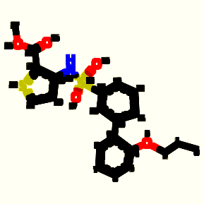 CCCOc1ccccc1-c1cccc(S(=O)(=O)Nc2ccsc2C(=O)OC)c1